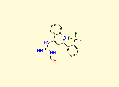 N=C(NC=O)Nc1cc(-c2ccccc2C(F)(F)F)nc2ccccc12